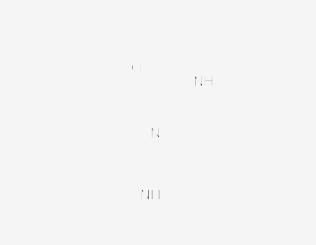 CNC(=O)N1C2CCC1CNC2